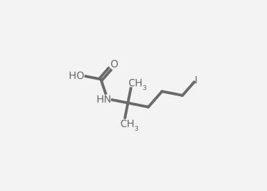 CC(C)(CCCI)NC(=O)O